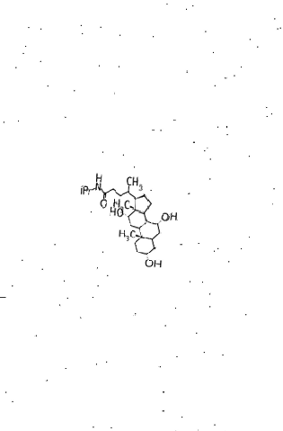 CC(C)NC(=O)CC[C@@H](C)[C@H]1CCC2C3C(C[C@H](O)[C@@]21C)[C@@]1(C)CC[C@@H](O)CC1C[C@H]3O